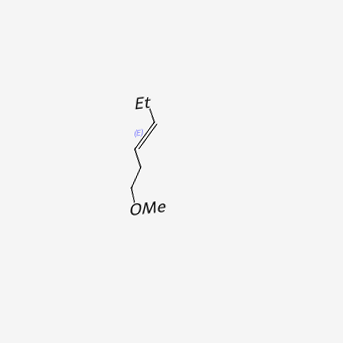 [CH2]OCC/C=C/CC